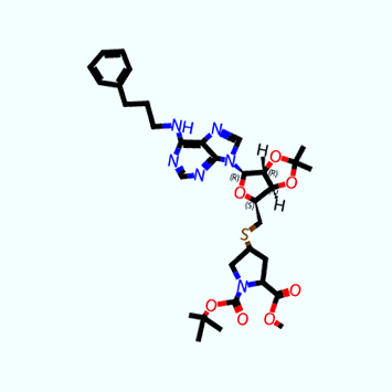 COC(=O)C1CC(SC[C@H]2O[C@@H](n3cnc4c(NCCCc5ccccc5)ncnc43)[C@@H]3OC(C)(C)O[C@H]32)CN1C(=O)OC(C)(C)C